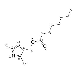 CCCCCCCC(=O)OCc1oc(C)nc1C